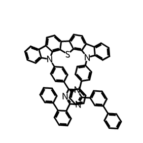 c1ccc(-c2ccc(-n3c4ccccc4c4ccc5c6ccc7c8ccccc8n(-c8ccc(-c9nc(-c%10cccc(-c%11ccccc%11)c%10)nc(-c%10ccccc%10-c%10ccccc%10)n9)cc8)c7c6sc5c43)cc2)cc1